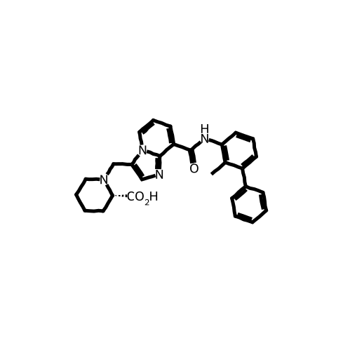 Cc1c(NC(=O)c2cccn3c(CN4CCCC[C@H]4C(=O)O)cnc23)cccc1-c1ccccc1